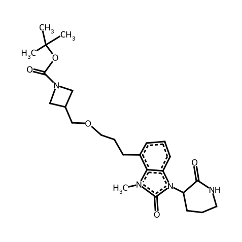 Cn1c(=O)n(C2CCCNC2=O)c2cccc(CCCOCC3CN(C(=O)OC(C)(C)C)C3)c21